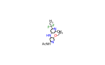 CC(=O)Nc1cc(Nc2cc(C)nc(C(C)(F)F)c2)c(OCC2CC2)cn1